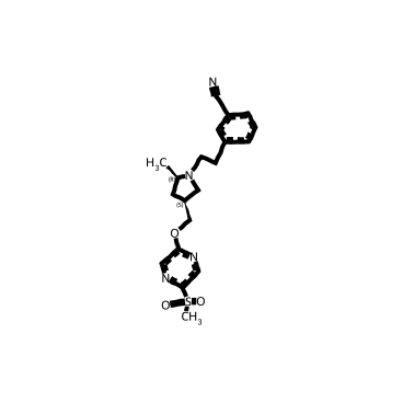 C[C@@H]1C[C@H](COc2cnc(S(C)(=O)=O)cn2)CN1CCc1cccc(C#N)c1